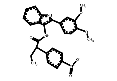 CCC(C(=O)Nc1c(-c2ccc(OC)c(OC)c2)[nH]c2ccccc12)c1ccc([N+](=O)[O-])cc1